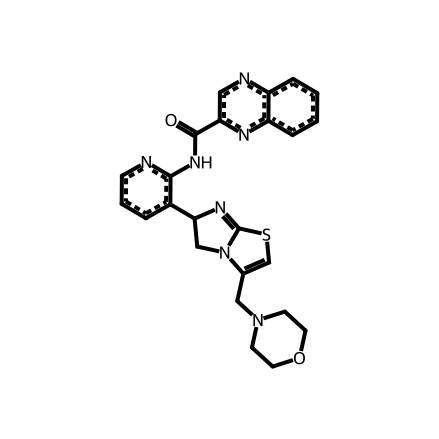 O=C(Nc1ncccc1C1CN2C(CN3CCOCC3)=CSC2=N1)c1cnc2ccccc2n1